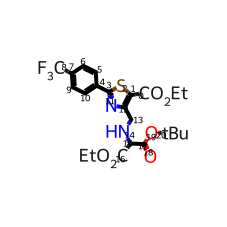 CCOC(=O)c1sc(-c2ccc(C(F)(F)F)cc2)nc1CNC(C(=O)OCC)C(=O)OC(C)(C)C